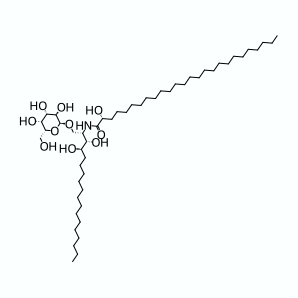 CCCCCCCCCCCCCCCCCCCCCCCC[C@@H](O)C(=O)N[C@@H](CO[C@H]1O[C@H](CO)[C@H](O)[C@H](O)[C@H]1O)[C@H](O)[C@H](O)CCCCCCCCCCCCCC